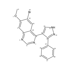 COc1cc2ncnc(-c3c[nH]nc3-c3ccccc3)c2cc1Br